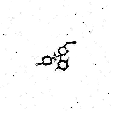 N#CCC1CCC(c2cc(F)ccc2F)(S(=O)(=O)c2ccc(Cl)cc2)CC1